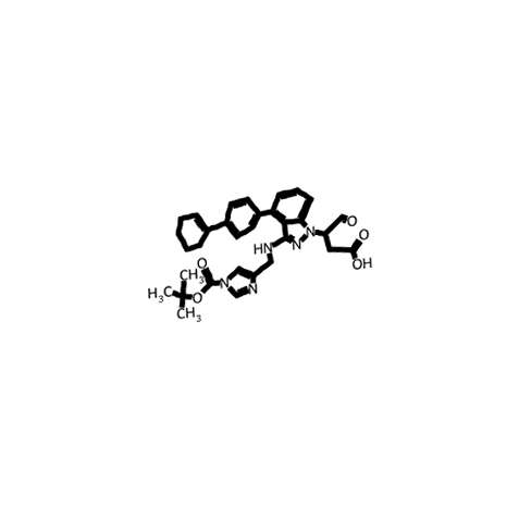 CC(C)(C)OC(=O)n1cnc(CNc2nn(C(C=O)CC(=O)O)c3cccc(-c4ccc(C5=CCCCC5)cc4)c23)c1